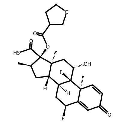 C[C@@H]1C[C@H]2[C@@H]3C[C@H](F)C4=CC(=O)C=C[C@]4(C)[C@@]3(F)[C@@H](O)C[C@]2(C)[C@@]1(OC(=O)C1CCOC1)C(=O)S